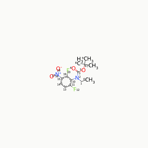 CCN(C(=O)OC(C)(C)C)c1c(F)ccc([N+](=O)[O-])c1F